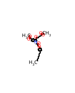 CCCCCCCCc1ccc(OCC(=O)Cn2cc(C(=O)CCCC(=O)OC)c3cc(C(=O)OC)ccc32)cc1